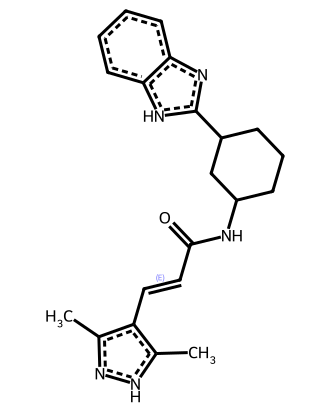 Cc1n[nH]c(C)c1/C=C/C(=O)NC1CCCC(c2nc3ccccc3[nH]2)C1